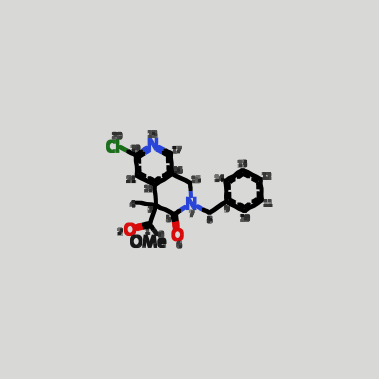 COC(=O)C1(C)C(=O)N(Cc2ccccc2)Cc2cnc(Cl)cc21